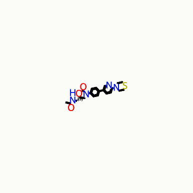 CC(=O)NC[C@H]1CN(c2ccc(-c3ccc(N4CCSCC4)nc3)cc2)C(=O)O1